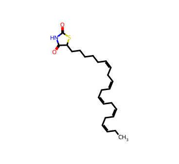 CC/C=C\C/C=C\C/C=C\C/C=C\C/C=C\CCCCCC1SC(=O)NC1=O